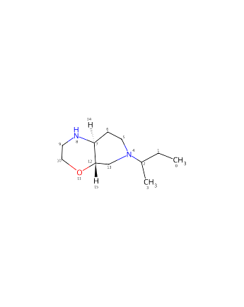 CCC(C)N1CC[C@@H]2NCCO[C@H]2C1